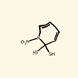 O=[N+]([O-])N1C=CC=CC1(S)S